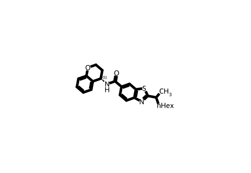 CCCCCCC(C)c1nc2ccc(C(=O)N[C@H]3CCOc4ccccc43)cc2s1